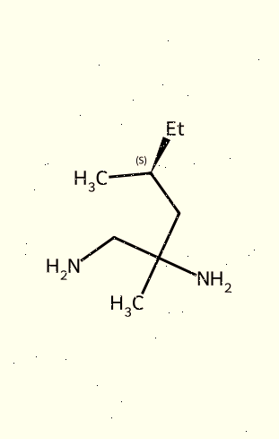 CC[C@H](C)CC(C)(N)CN